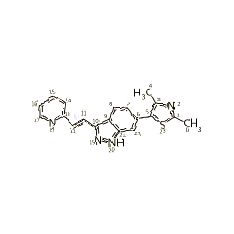 Cc1nc(C)c(-c2ccc3c(/C=C/c4ccccn4)n[nH]c3c2)s1